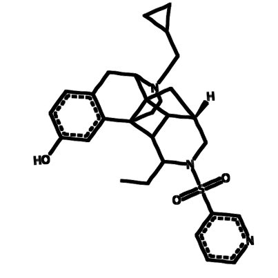 CCC1C2C3[C@@H](CN1S(=O)(=O)c1cccnc1)CC31C3Cc4ccc(O)cc4C21CCN3CC1CC1